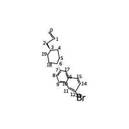 C=CC[C@H]1CC[C@H](c2ccc3cc(Br)ccc3c2)CC1